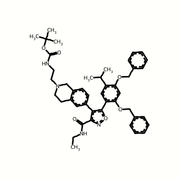 CCNC(=O)c1noc(-c2cc(C(C)C)c(OCc3ccccc3)cc2OCc2ccccc2)c1-c1ccc2c(c1)CCN(CCNC(=O)OC(C)(C)C)C2